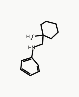 CC1(CNc2ccccc2)CCCCC1